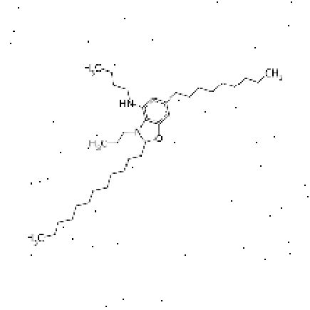 CCCCCCCCCCCCC1Oc2cc(CCCCCCCCC)cc(NCCCC)c2N1CCC